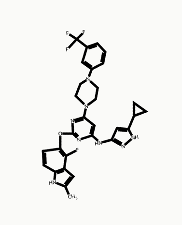 Cc1cc2c(F)c(Oc3nc(Nc4cc(C5CC5)[nH]n4)cc(N4CCN(c5cccc(C(F)(F)F)c5)CC4)n3)ccc2[nH]1